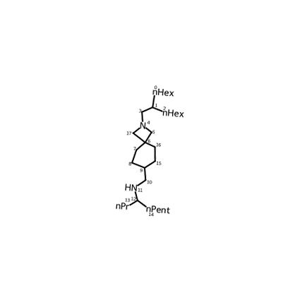 CCCCCCC(CCCCCC)CN1CC2(CCC(CNC(CCC)CCCCC)CC2)C1